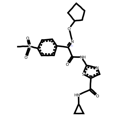 CS(=O)(=O)c1ccc(/C(=N\OC2CCCC2)C(=O)Nc2ncc(C(=O)NC3CC3)s2)cc1